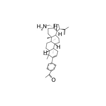 C=C(C)[C@@H]1CC[C@]2(CN)CC[C@]3(C)[C@H](CC[C@@H]4[C@@]5(C)CC=C(c6ccc(C(C)=O)cc6)C(C)(C)[C@@H]5CC[C@]43C)[C@@H]12